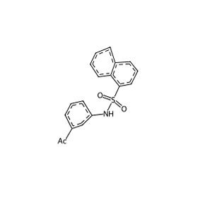 CC(=O)c1cccc(NS(=O)(=O)c2cccc3ccccc23)c1